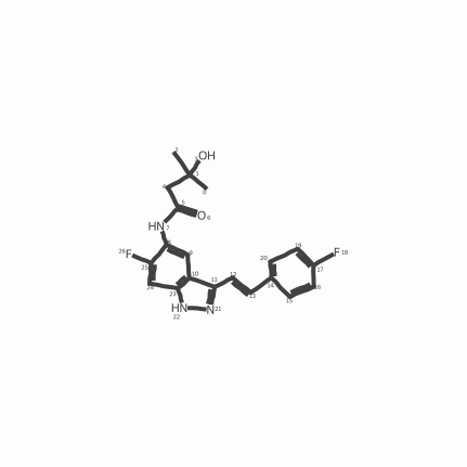 CC(C)(O)CC(=O)Nc1cc2c(C=Cc3ccc(F)cc3)n[nH]c2cc1F